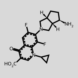 N[C@@H]1CC[C@H]2CN(c3c(F)cc4c(=O)c(C(=O)O)cn(C5CC5)c4c3F)C[C@H]21